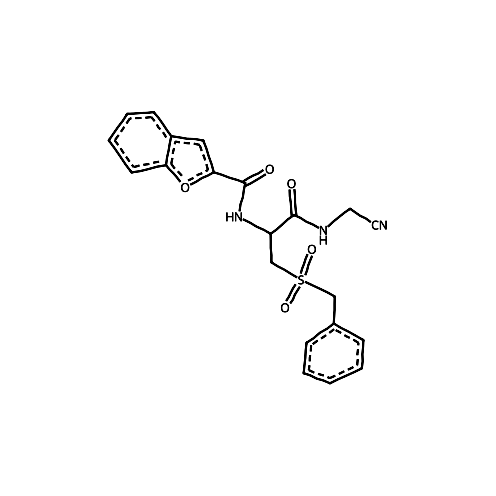 N#CCNC(=O)C(CS(=O)(=O)Cc1ccccc1)NC(=O)c1cc2ccccc2o1